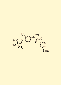 Cc1cc(N2CC[C@H](Oc3ccc(C=O)cc3)C2=O)ccc1OCC(C)(C)O